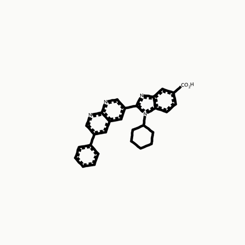 O=C(O)c1ccc2c(c1)nc(-c1cnc3ncc(-c4ccccc4)cc3c1)n2C1CCCCC1